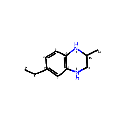 CCc1ccc2c(c1)NCC(C)N2